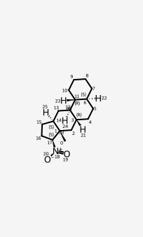 C[C@]12C[C@H]3CC[C@@H]4CCCC[C@H]4[C@@H]3C[C@@H]1CC[C@@H]2[N+](=O)[O-]